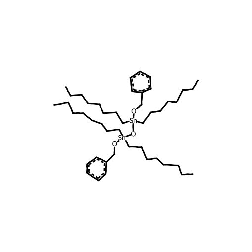 CCCCCCC[CH2][Sn]([CH2]CCCCCCC)([O]Cc1ccccc1)[O][Sn]([CH2]CCCCCCC)([CH2]CCCCCCC)[O]Cc1ccccc1